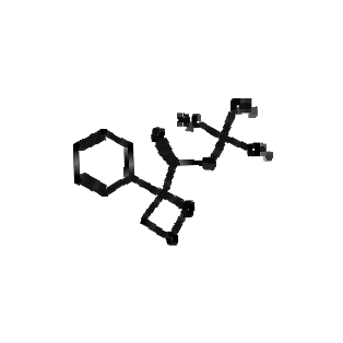 CC(C)(C)OC(=O)C1(c2ccccc2)COO1